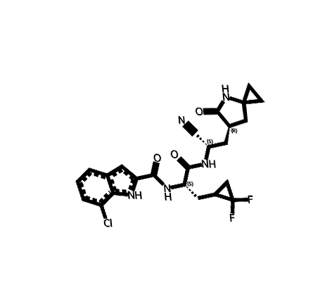 N#C[C@H](C[C@@H]1CC2(CC2)NC1=O)NC(=O)[C@H](CC1CC1(F)F)NC(=O)c1cc2cccc(Cl)c2[nH]1